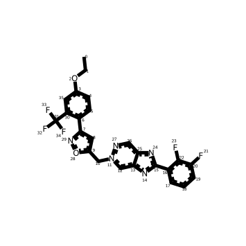 CCOc1ccc(-c2cc(Cn3cc4nc(-c5cccc(F)c5F)nc-4cn3)on2)c(C(F)(F)F)c1